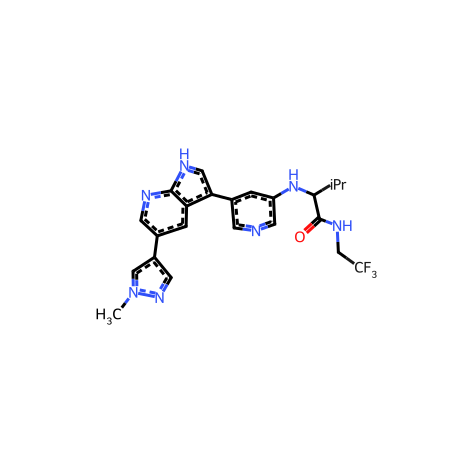 CC(C)C(Nc1cncc(-c2c[nH]c3ncc(-c4cnn(C)c4)cc23)c1)C(=O)NCC(F)(F)F